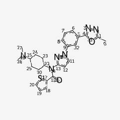 Cc1nnc(-c2cccc(-n3ccc(N(C(=O)c4cccs4)C4CCC(N(C)C)CC4)n3)c2)o1